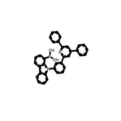 OB(O)c1cccc2c3ccccc3n(-c3cccc(-c4cc(-c5ccccc5)cc(-c5ccccc5)n4)c3)c12